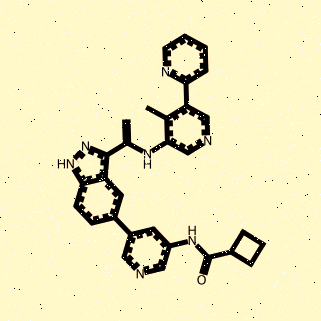 C=C(Nc1cncc(-c2ccccn2)c1C)c1n[nH]c2ccc(-c3cncc(NC(=O)C4CCC4)c3)cc12